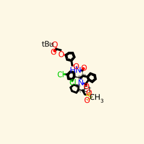 CCC(CS(C)(=O)=O)[C@H]1CCCC[C@@H]1N1C(=O)c2ccccc2[C@@H](C(=O)NOCc2cccc(OCC(=O)OC(C)(C)C)c2)[C@@H]1c1ccc(Cl)cc1Cl